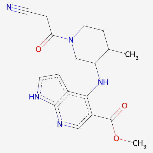 COC(=O)c1cnc2[nH]ccc2c1NC1CN(C(=O)CC#N)CCC1C